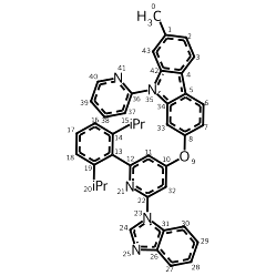 Cc1ccc2c3ccc(Oc4cc(-c5c(C(C)C)cccc5C(C)C)nc(-n5cnc6ccccc65)c4)cc3n(-c3ccccn3)c2c1